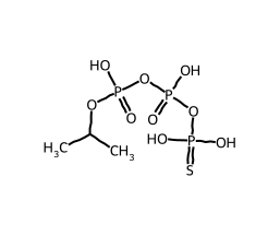 CC(C)OP(=O)(O)OP(=O)(O)OP(O)(O)=S